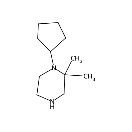 CC1(C)CNCCN1C1CCCC1